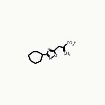 C=C(Cc1nc(C2CCCCCC2)no1)C(=O)O